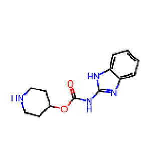 O=C(Nc1nc2ccccc2[nH]1)OC1CCNCC1